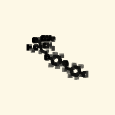 COC(=O)C(C)(C)CCOc1ccc(OCc2ccc(Cl)cc2)cc1